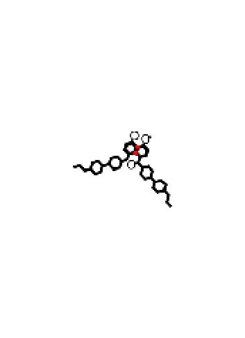 CCCC1CCC(C2CCC(C(OC(c3ccc(OC)cc3)C3CCC(C4CCC(CCC)CC4)CC3)c3ccc(OC)cc3)CC2)CC1